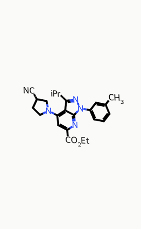 CCOC(=O)c1cc(N2CCC(C#N)C2)c2c(C(C)C)nn(-c3cccc(C)c3)c2n1